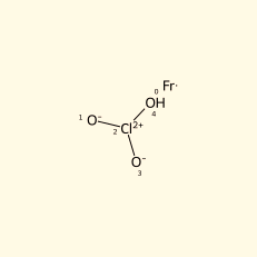 [Fr].[O-][Cl+2]([O-])O